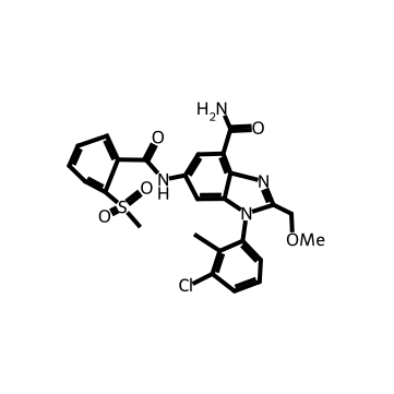 COCc1nc2c(C(N)=O)cc(NC(=O)c3ccccc3S(C)(=O)=O)cc2n1-c1cccc(Cl)c1C